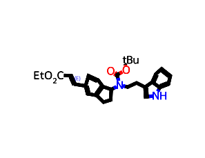 CCOC(=O)/C=C/c1ccc2c(c1)CCC2N(CCc1c[nH]c2ccccc12)C(=O)OC(C)(C)C